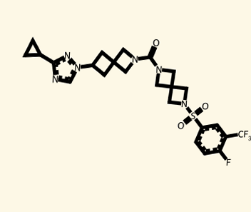 O=C(N1CC2(CC(n3cnc(C4CC4)n3)C2)C1)N1CC2(C1)CN(S(=O)(=O)c1ccc(F)c(C(F)(F)F)c1)C2